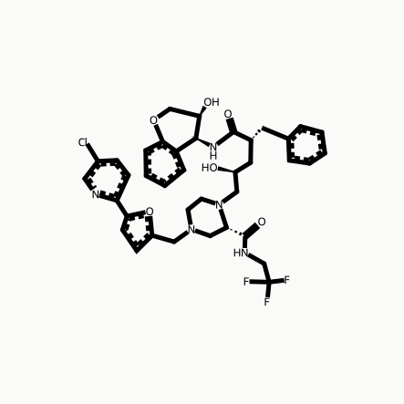 O=C(N[C@H]1c2ccccc2OC[C@H]1O)[C@H](Cc1ccccc1)C[C@H](O)CN1CCN(Cc2ccc(-c3ccc(Cl)cn3)o2)C[C@H]1C(=O)NCC(F)(F)F